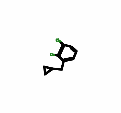 Clc1cccc([CH]C2CC2)c1Cl